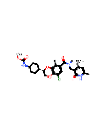 CSc1cc(C)[nH]c(=O)c1CN(C)C(=O)c1cc(Cl)c2c(c1C)O[C@@H](C1CCC(NC(=O)OC(C)(C)C)CC1)CO2